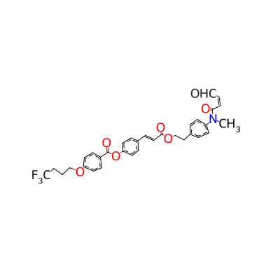 CN(C(=O)/C=C\C=O)c1ccc(CCOC(=O)/C=C/c2ccc(OC(=O)c3ccc(OCCCC(F)(F)F)cc3)cc2)cc1